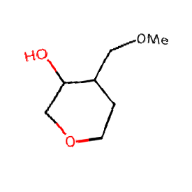 COCC1CCOCC1O